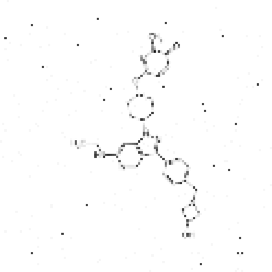 CCNc1cc2c(cn1)c(-c1ccc(CN3CC(O)C3)cc1)nn2[C@H]1CC[C@@H](Oc2ccc(=O)n(C)n2)CC1